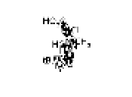 Cc1nc(N2CCC3(CC2)CO[C@@H](C)[C@H]3NC(=O)OC(C)(C)C)c(CO)nc1Sc1ccn2cc(C(=O)O)nc2c1Cl